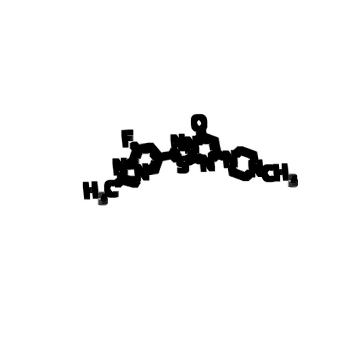 Cc1cn2cc(-c3nn4c(=O)cc(N5CCN(C)CC5)nc4s3)cc(F)c2n1